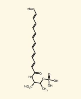 CCCCCCCCC/C=C/C=C/C=C/C=C/C=C/C=C/C(=O)N[C@H](C(=O)O)C(C)OP(=O)(O)O